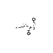 CC(C)C[C@H](NC(=O)[C@@H](N)CCCNC(=N)N)C(=O)N[C@@H](Cc1c[nH]c2ccccc12)C(=O)N1CCC[C@H]1C(=O)N[C@@H](Cc1ccccc1)C(=O)O